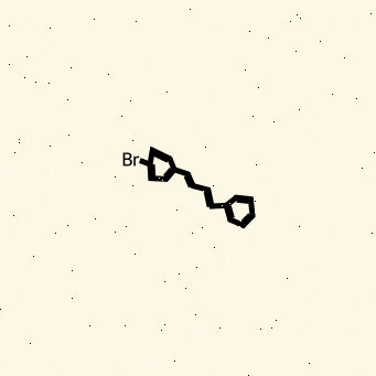 Brc1ccc(C=CC=Cc2ccccc2)cc1